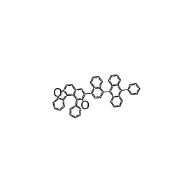 c1ccc(-c2c3ccccc3c(-c3ccc(-c4cc5ccc6oc7ccccc7c6c5c5c4oc4ccccc45)c4ccccc34)c3ccccc23)cc1